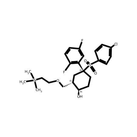 C[Si](C)(C)CCOC[C@@H]1C[C@](c2cc(F)ccc2F)(S(=O)(=O)c2ccc(Cl)cc2)CC[C@H]1O